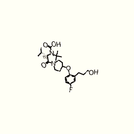 CC(C)[C@@H](C(=O)N1CCC(Oc2ccc(F)cc2CCCO)CC1)N(C(=O)O)C(C)(C)C